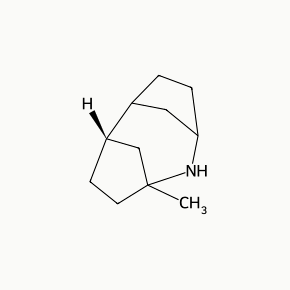 CC12CC[C@@H](C1)C1CCC(C1)N2